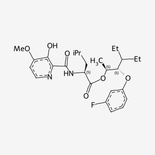 CCC(CC)[C@H](Oc1cccc(F)c1)[C@H](C)OC(=O)[C@H](CC(C)C)NC(=O)c1nccc(OC)c1O